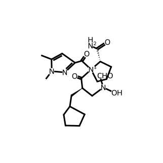 Cc1cc(C(=O)[N+]2(C(=O)[C@H](CC3CCCC3)CN(O)C=O)CCC[C@H]2C(N)=O)nn1C